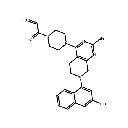 C=CC(=O)N1CCN(c2nc(C(C)C)nc3c2CCN(c2cc(O)cc4ccccc24)C3)CC1